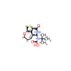 CC(C)(C)N(C(=O)O)c1[nH]c(=O)c2scc3c2c1CCCO3